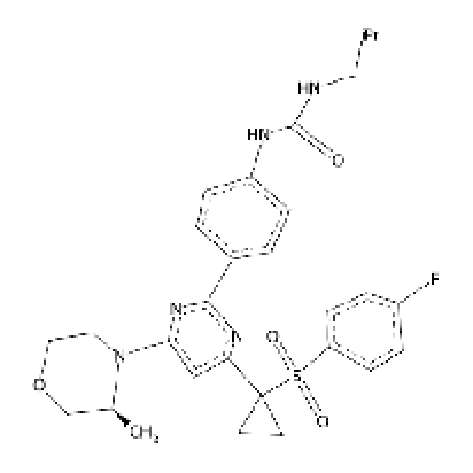 CC(C)CNC(=O)Nc1ccc(-c2nc(N3CCOC[C@@H]3C)cc(C3(S(=O)(=O)c4ccc(F)cc4)CC3)n2)cc1